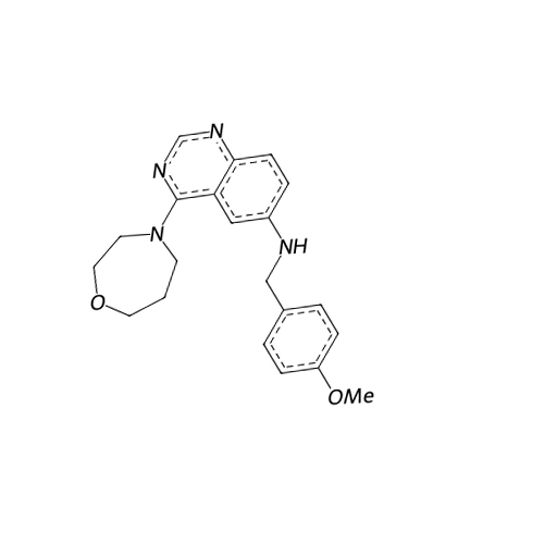 COc1ccc(CNc2ccc3ncnc(N4CCCOCC4)c3c2)cc1